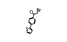 O=C(CBr)c1ccc(-c2cccs2)cc1